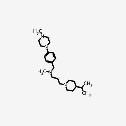 CC(C)C1CCN(CCCN(C)Cc2ccc(N3CCN(C)CC3)cc2)CC1